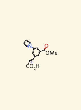 COC(=O)c1cc(/C=C/C(=O)O)cc(-n2cccc2)c1